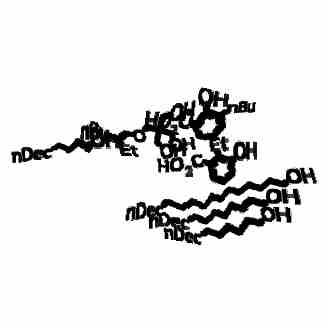 CCCCC(CC)COCC(CO)(CO)CO.CCCCCCCCCCCCCCCCCCCCCCO.CCCCCCCCCCCCCCCCCCO.CCCCCCCCCCCCCCCCO.CCCCCCCCCCCCCCO.CCCCc1cccc(C(=O)O)c1O.CCc1c(O)cccc1C(=O)O